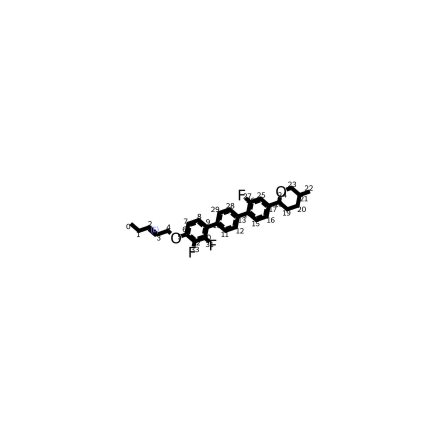 CC/C=C/COc1ccc(-c2ccc(-c3ccc(C4CCC(C)CO4)cc3F)cc2)c(F)c1F